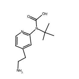 CC(C)(C)N(C(=O)O)c1cc(CCN)ccn1